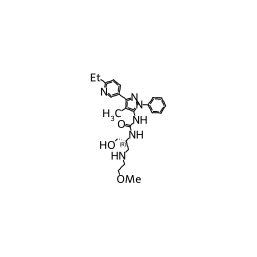 CCc1ccc(-c2nn(-c3ccccc3)c(NC(=O)N[C@@H](CO)CNCCOC)c2C)cn1